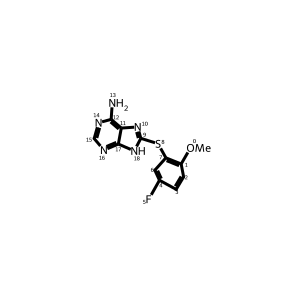 COc1ccc(F)cc1Sc1nc2c(N)ncnc2[nH]1